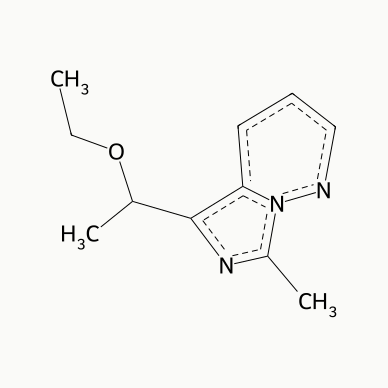 CCOC(C)c1nc(C)n2ncccc12